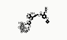 [N-]=[N+]=NCOC1C[C@H](n2cc(C#CCOC(=O)c3ccc(OC4CCC4)cc3CN=[N+]=[N-])c3c(N)ncnc32)O[C@@H]1COP(=O)(O)OP(=O)(O)OP(=O)(O)O